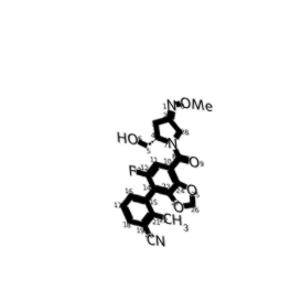 CO/N=C1/C[C@@H](CO)N(C(=O)c2cc(F)c(-c3cccc(C#N)c3C)c3c2OCO3)C1